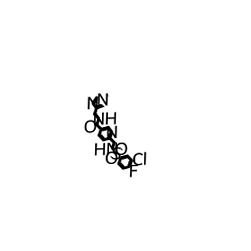 Cn1cnc(CNC(=O)c2ccc(CNS(=O)(=O)c3ccc(F)c(Cl)c3)nc2)c1